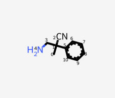 CC(C#N)(CN)c1ccccc1